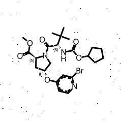 COC(=O)[C@@H]1C[C@@H](Oc2ccnc(Br)c2)CN1C(=O)[C@@H](NC(=O)OC1CCCC1)C(C)(C)C